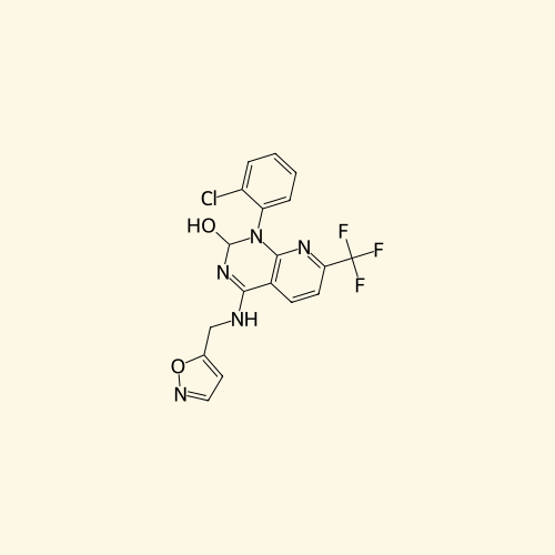 OC1N=C(NCc2ccno2)c2ccc(C(F)(F)F)nc2N1c1ccccc1Cl